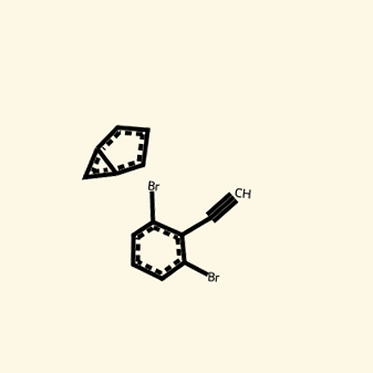 C#Cc1c(Br)cccc1Br.c1cc2cc-2c1